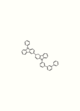 C1=CC(c2ccc3c(c2)c2ccccc2n3-c2ccccc2)Cc2c1n(-c1cccc(-c3cccc(-c4ccccc4)c3)c1)c1ccccc21